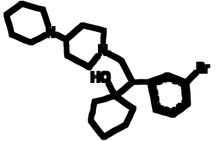 OC1(C(CN2CCC(N3CCCCC3)CC2)c2cccc(Br)c2)CCCCC1